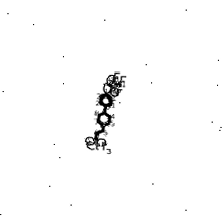 COC(=O)CCC1CCC(c2ccc(OS(=O)(=O)C(F)(F)F)cc2)CC1